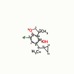 C[C@@H]1COc2c(F)cc([C@@H](C)C3CC3)c(O)c21